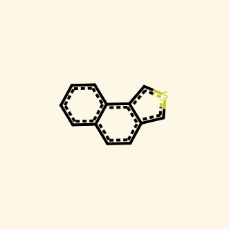 c1ccc2c(c1)ccc1cscc12